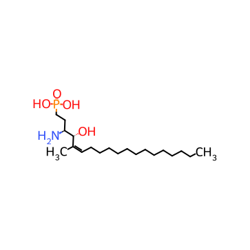 CCCCCCCCCCCCC/C=C(/C)[C@@H](O)[C@@H](N)CCP(=O)(O)O